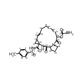 Cc1ccc([S+]([O-])NC(=O)[C@@]23CC2/C=C/CCCCCC(OC(N)=O)C(=O)N2CCCC2C(=O)N3)cc1